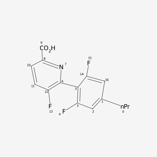 CCCc1cc(F)c(-c2nc(C(=O)O)ccc2F)c(F)c1